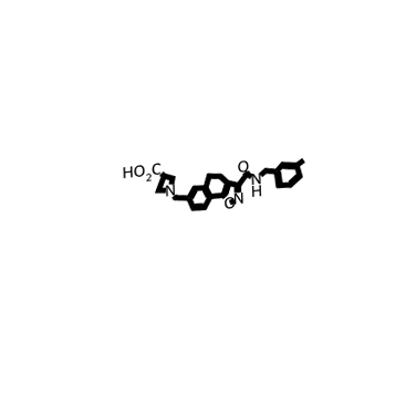 Cc1cccc(CNC(=O)c2noc3c2CCc2cc(CN4CC(C(=O)O)C4)ccc2-3)c1